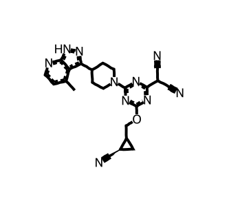 Cc1ccnc2[nH]nc(C3CCN(c4nc(OCC5C[C@H]5C#N)nc(C(C#N)C#N)n4)CC3)c12